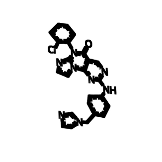 O=c1c2cnc(Nc3ccc(Cn4ccnc4)cc3)nc2n2ccnc2n1-c1ccccc1Cl